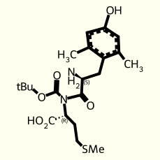 CSCC[C@H](C(=O)O)N(C(=O)OC(C)(C)C)C(=O)[C@@H](N)Cc1c(C)cc(O)cc1C